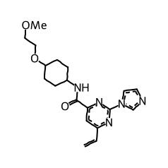 C=Cc1cc(C(=O)NC2CCC(OCCOC)CC2)nc(-n2ccnc2)n1